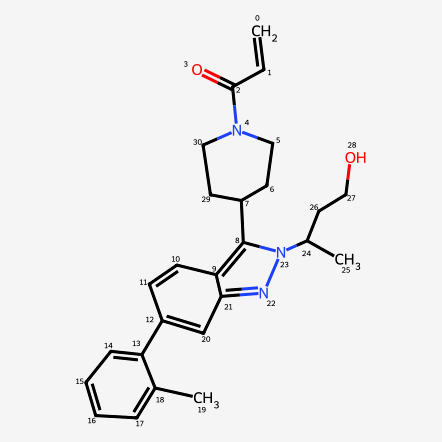 C=CC(=O)N1CCC(c2c3ccc(-c4ccccc4C)cc3nn2C(C)CCO)CC1